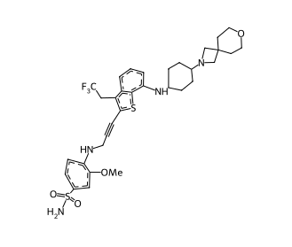 COc1cc(S(N)(=O)=O)ccc1NCC#Cc1sc2c(NC3CCC(N4CC5(CCOCC5)C4)CC3)cccc2c1CC(F)(F)F